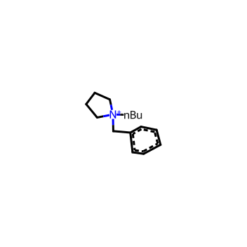 CCCC[N+]1(Cc2ccccc2)CCCC1